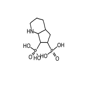 O=P(O)(O)C1CC2CCCNC2C1P(=O)(O)O